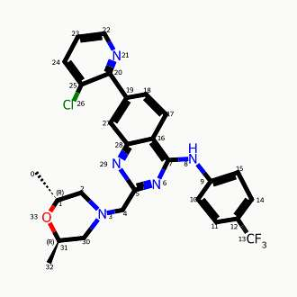 C[C@@H]1CN(Cc2nc(Nc3ccc(C(F)(F)F)cc3)c3ccc(-c4ncccc4Cl)cc3n2)C[C@@H](C)O1